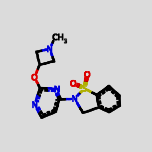 CN1CC(Oc2nccc(N3Cc4ccccc4S3(=O)=O)n2)C1